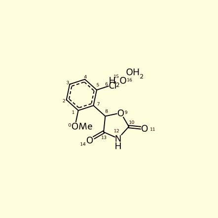 COc1cccc(Cl)c1C1OC(=O)NC1=O.O.O